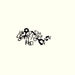 CC(C)(COc1cccc2c1C(N)=NS(=O)(=O)N2)NC(=O)c1ccnc(-n2ccnc2)c1.Cl